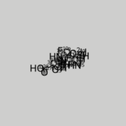 [2H]C([2H])([2H])Sc1c(Oc2ccc(F)c(-c3nc([C@]4(C([2H])([2H])[2H])CCOc5c(CCC(=O)O)cccc54)c[nH]3)c2)c(F)c(F)c2[nH]ccc12